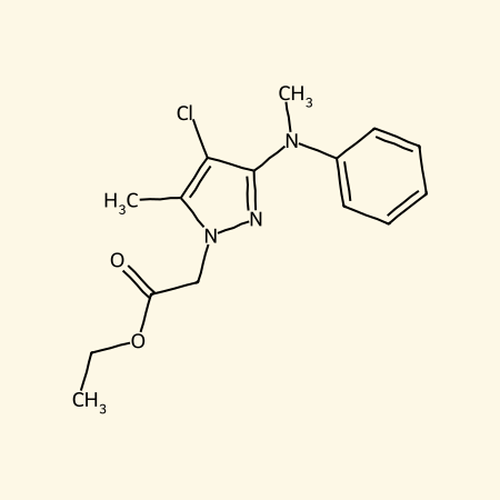 CCOC(=O)Cn1nc(N(C)c2ccccc2)c(Cl)c1C